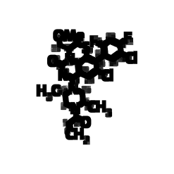 C=CC(=O)N1C[C@H](C)N(c2nc(=O)n3c4c(c(-c5cc(Cl)c(F)cc5F)c(Cl)cc24)SC[C@@H]3COC)C[C@H]1C